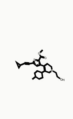 COC(=O)c1sc(C#CC2CC2)cc1C1=C(C2CCC(C)CC2)CN(CCO)CC1